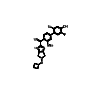 CCc1cc(O)c(F)cc1-c1ccc(C(=N)c2nc3c([nH]2)CN(SC2CCC2)C3)c(NC)c1